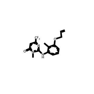 C=CCOc1cccc(Nc2nc(C(F)(F)F)cc(=O)n2C)c1C